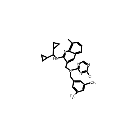 Cc1cccc2cc(CN(Cc3cc(C(F)(F)F)cc(C(F)(F)F)c3)c3ncnc(Cl)n3)c(NC(C3CC3)C3CC3)nc12